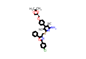 [C-]#[N+]c1c(N)nc(SCc2nc(-c3ccc(Cl)cc3)oc2-c2ccccc2)c(C#N)c1-c1ccc(OC[C@H]2COC(C)(C)O2)cc1